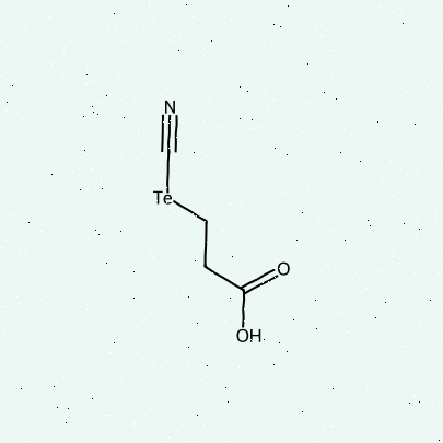 N#C[Te]CCC(=O)O